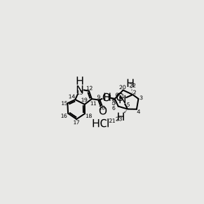 CN1[C@@H]2CC[C@H]1CC(OC(=O)c1c[nH]c3ccccc13)C2.Cl